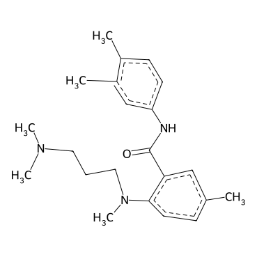 Cc1ccc(N(C)CCCN(C)C)c(C(=O)Nc2ccc(C)c(C)c2)c1